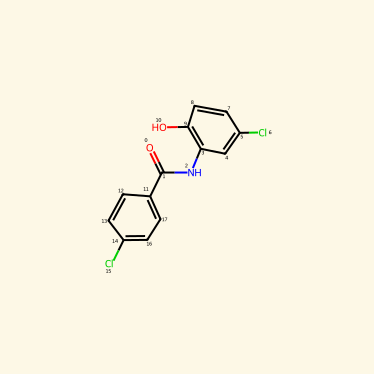 O=C(Nc1cc(Cl)ccc1O)c1ccc(Cl)cc1